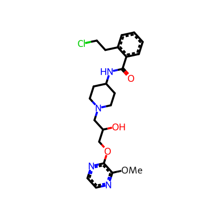 COc1nccnc1OCC(O)CN1CCC(NC(=O)c2ccccc2CCCl)CC1